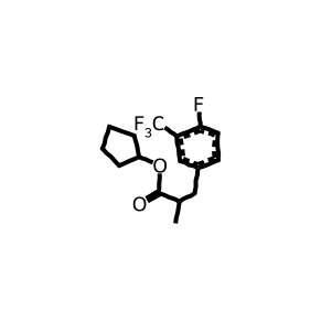 CC(Cc1ccc(F)c(C(F)(F)F)c1)C(=O)OC1CCCC1